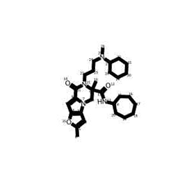 Cc1cc2c(cc3n2CC(C)(C(=O)NC2CCCCCC2)N(CCCN(C)C2CCCCC2)C3=O)o1